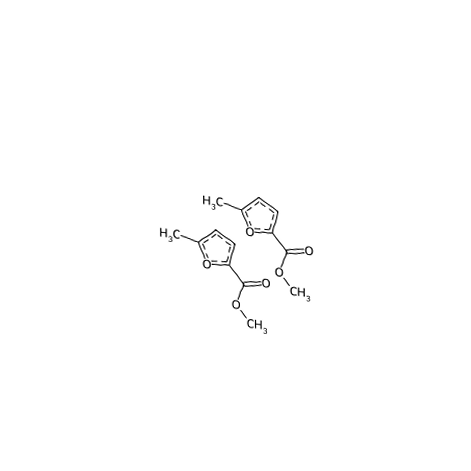 COC(=O)c1ccc(C)o1.COC(=O)c1ccc(C)o1